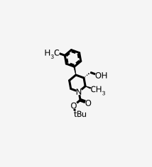 Cc1cccc([C@@H]2CCN(C(=O)OC(C)(C)C)[C@H](C)[C@H]2CO)c1